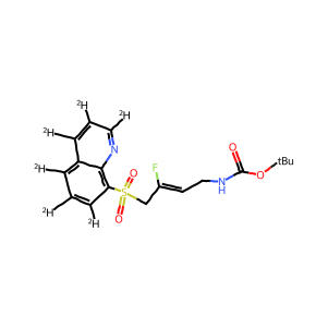 [2H]c1nc2c(S(=O)(=O)C/C(F)=C/CNC(=O)OC(C)(C)C)c([2H])c([2H])c([2H])c2c([2H])c1[2H]